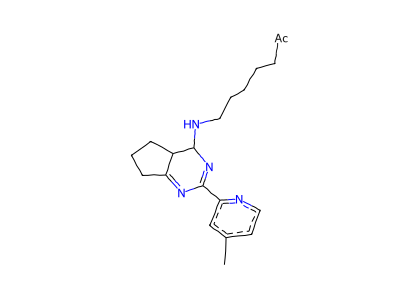 CC(=O)CCCCCNC1N=C(c2cc(C)ccn2)N=C2CCCC21